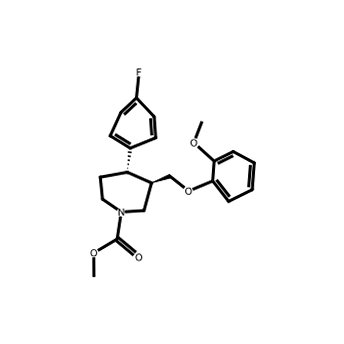 COC(=O)N1CC[C@H](c2ccc(F)cc2)[C@@H](COc2ccccc2OC)C1